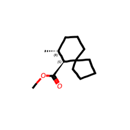 COC(=O)[C@H]1[C@H](C)CCCC12CCCC2